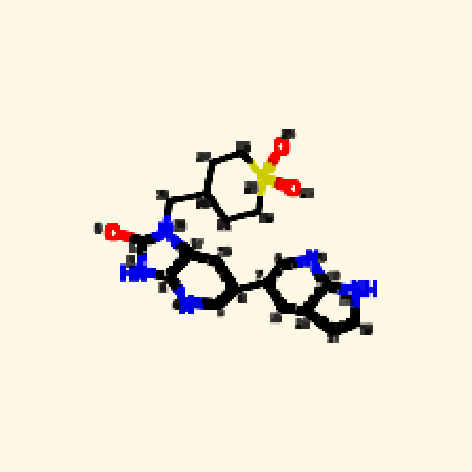 O=c1[nH]c2ncc(-c3cnc4[nH]ccc4c3)cc2n1CC1CCS(=O)(=O)CC1